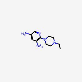 CCN1CCN(c2ncc(N)cc2N)CC1